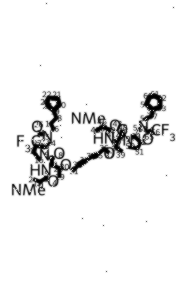 CN[C@@H](C)C(=O)N[C@H](C(=O)N1CCC[C@H]1CN(CCCc1ccccc1)C(=O)C(F)(F)F)C(C)OCC#CC#CCOC(C)[C@H](NC(=O)[C@H](C)NC)C(=O)N1CCC[C@H]1CN(CCc1ccccc1)C(=O)C(F)(F)F